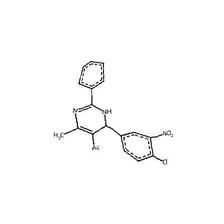 CC(=O)C1=C(C)N=C(c2ccccc2)NC1c1ccc(Cl)c([N+](=O)[O-])c1